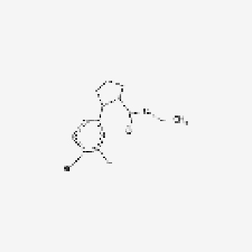 CCOC(=O)N1CCCC1c1ccc(Br)c(F)c1